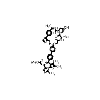 COC(=O)C[C@@H]1N=C(c2ccc(-c3cnc(OCC(=O)N[C@H](C(=O)N4C[C@H](O)C[C@H]4C(=O)N[C@@H](C)c4ccc(-c5scnc5C)cc4)C(C)(C)C)cn3)cc2)c2c(sc(C)c2C)-n2c(C)nnc21